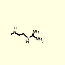 CNCCNC(=N)N